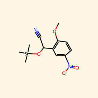 COc1ccc([N+](=O)[O-])cc1C(C#N)O[Si](C)(C)C